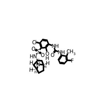 Cc1c(F)cccc1NC(=O)Nc1ccc(Cl)c(S(=O)(=O)N[C@@H]2C[C@H]3CC[C@@H](C2)N3C)c1O